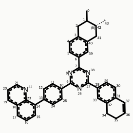 CC1Cc2ccc(-c3nc(-c4ccc(-c5cccc6cccnc56)cc4)nc(-c4ccc5c(c4)CCC=C5)n3)cc2C[C@H]1C